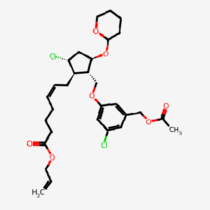 C=CCOC(=O)CCC/C=C\C[C@@H]1[C@@H](COc2cc(Cl)cc(COC(C)=O)c2)[C@H](OC2CCCCO2)C[C@H]1Cl